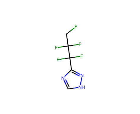 FCC(F)(F)C(F)(F)c1nc[nH]n1